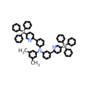 Cc1cc(C)cc(N(c2cccc(-c3ccc([Si](c4ccccc4)(c4ccccc4)c4ccccc4)cn3)c2)c2cccc(-c3ccc([Si](c4ccccc4)(c4ccccc4)c4ccccc4)cn3)c2)c1